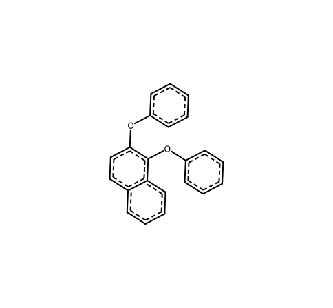 c1ccc(Oc2ccc3ccccc3c2Oc2ccccc2)cc1